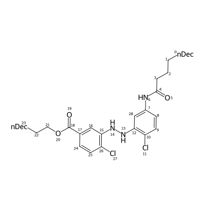 CCCCCCCCCCCCCC(=O)Nc1ccc(Cl)c(NNc2cc(C(=O)OCCCCCCCCCCCC)ccc2Cl)c1